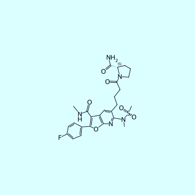 CNC(=O)c1c(-c2ccc(F)cc2)oc2nc(N(C)S(C)(=O)=O)c(CCCC(=O)N3CCC[C@H]3C(N)=O)cc12